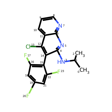 CC(C)Nc1nc2ncccc2c(Cl)c1-c1c(F)cc(F)cc1F